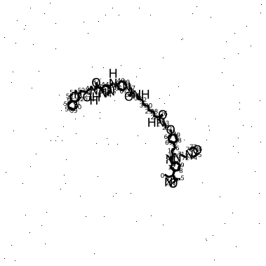 Cc1noc(C)c1-c1ccc2c(c1)nc(CCc1ccc(OCCNC(=O)CCCCCCCNC(=O)CN3CCC(Nc4cc(C(=O)NC[C@H](O)CN5CCc6ccccc6C5)ncn4)CC3)cc1)n2CCN1CCOCC1